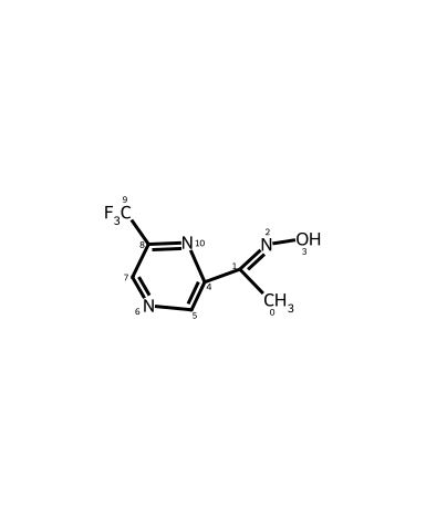 CC(=NO)c1cncc(C(F)(F)F)n1